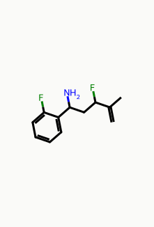 C=C(C)C(F)CC(N)c1ccccc1F